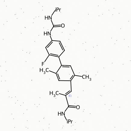 C/C(=C\c1cc(C)c(-c2ccc(NC(=O)NC(C)C)cc2F)cc1C)C(=O)NC(C)C